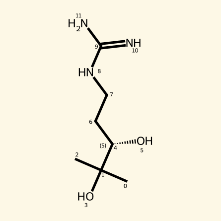 CC(C)(O)[C@@H](O)CCNC(=N)N